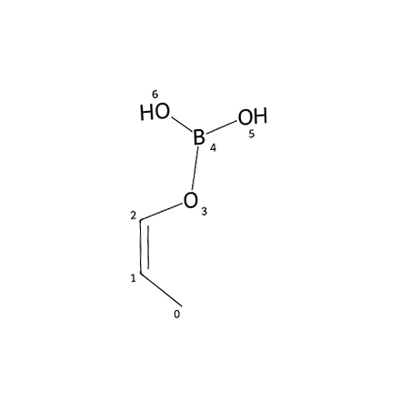 C/C=C\OB(O)O